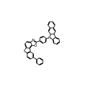 C1=c2ccccc2=CC2C1c1ccccc1N2c1ccc(-c2nc3ccc4sc5ccc(-c6ccccc6)cc5c4c3o2)cc1